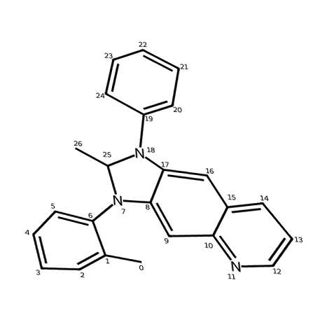 Cc1ccccc1N1c2cc3ncccc3cc2N(c2ccccc2)C1C